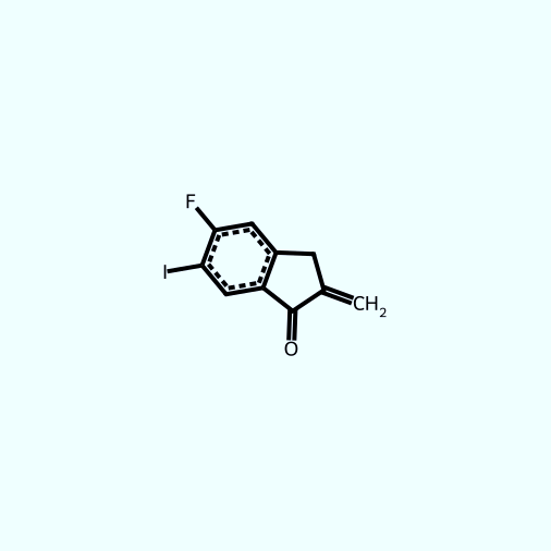 C=C1Cc2cc(F)c(I)cc2C1=O